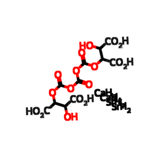 O=C(OC(=O)OC(C(=O)O)C(O)C(=O)O)OC(=O)OC(C(=O)O)C(O)C(=O)O.[CaH2].[CaH2].[SrH2].[SrH2]